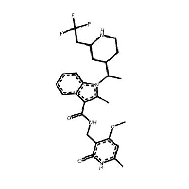 COc1cc(C)[nH]c(=O)c1CNC(=O)c1c(C)n(C(C)C2CCNC(CC(F)(F)F)C2)c2ccccc12